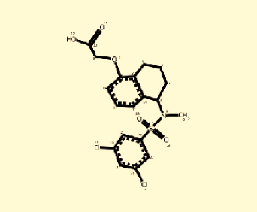 CN(C1CCCc2c(OCC(=O)O)cccc21)S(=O)(=O)c1cc(Cl)cc(Cl)c1